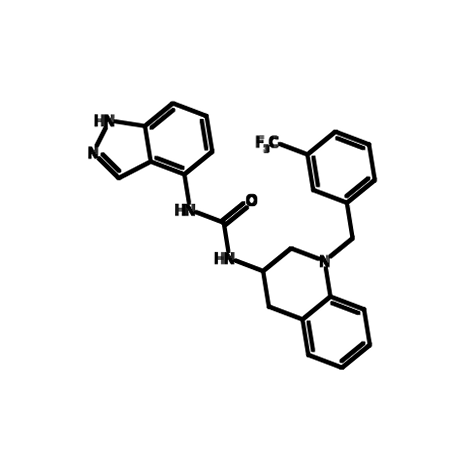 O=C(Nc1cccc2[nH]ncc12)NC1Cc2ccccc2N(Cc2cccc(C(F)(F)F)c2)C1